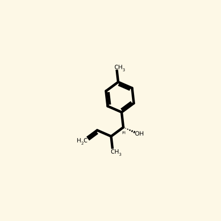 C=CC(C)[C@@H](O)c1ccc(C)cc1